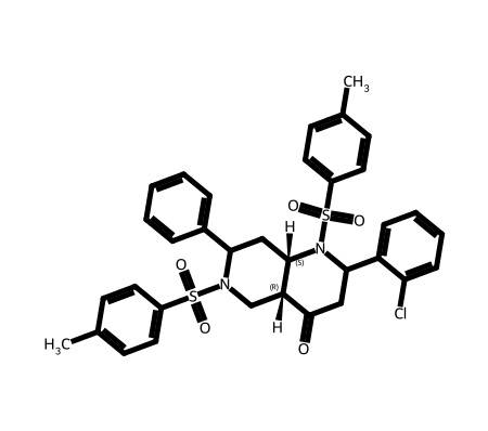 Cc1ccc(S(=O)(=O)N2C[C@H]3C(=O)CC(c4ccccc4Cl)N(S(=O)(=O)c4ccc(C)cc4)[C@H]3CC2c2ccccc2)cc1